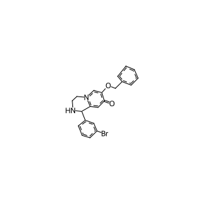 O=c1cc2n(cc1OCc1ccccc1)CCNC2c1cccc(Br)c1